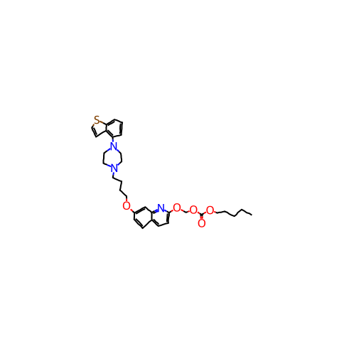 CCCCCOC(=O)OCOc1ccc2ccc(OCCCCN3CCN(c4cccc5sccc45)CC3)cc2n1